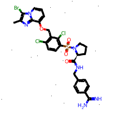 Cc1nc2c(OCc3c(Cl)ccc(S(=O)(=O)N4CCC[C@H]4C(=O)NCc4ccc(C(=N)N)cc4)c3Cl)cccn2c1Br